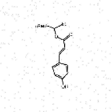 CCCCCC(CC)OC(=O)C=Cc1ccc(O)cc1